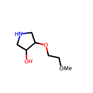 COCCOC1CNCC1O